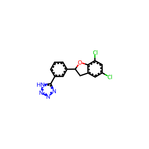 Clc1cc(Cl)c2c(c1)CC(c1cccc(-c3nnn[nH]3)c1)O2